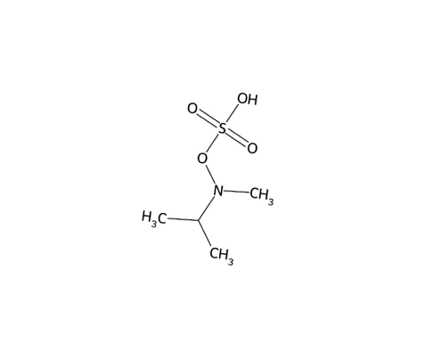 CC(C)N(C)OS(=O)(=O)O